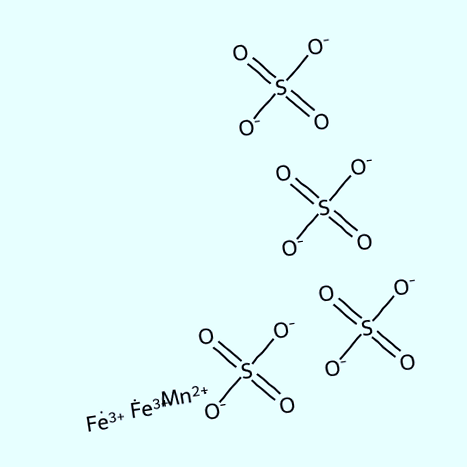 O=S(=O)([O-])[O-].O=S(=O)([O-])[O-].O=S(=O)([O-])[O-].O=S(=O)([O-])[O-].[Fe+3].[Fe+3].[Mn+2]